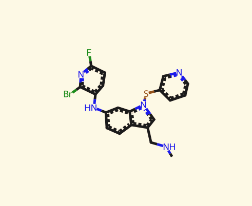 CNCc1cn(Sc2cccnc2)c2cc(Nc3ccc(F)nc3Br)ccc12